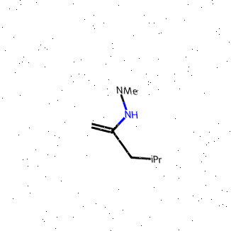 C=C(CC(C)C)NNC